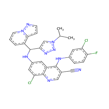 CC(C)n1cc(C(Nc2cc(Cl)c3ncc(C#N)c(Nc4ccc(F)c(Cl)c4)c3c2)c2cccn3nccc23)nn1